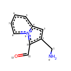 NCc1cc2ccccn2c1C=O